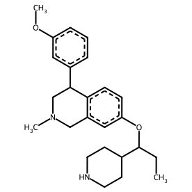 CCC(Oc1ccc2c(c1)CN(C)CC2c1cccc(OC)c1)C1CCNCC1